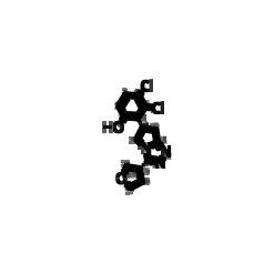 Oc1ccc(Cl)c(Cl)c1[C@@H]1Cc2nnc([C@@H]3CCOC3)n2C1